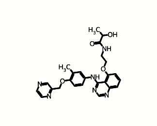 Cc1cc(Nc2ncnc3cccc(OCCNC(=O)C(C)O)c23)ccc1OCc1cnccn1